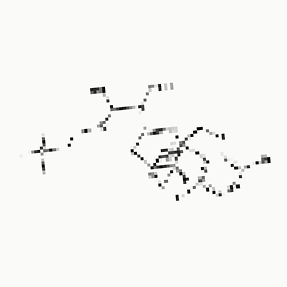 CC(C)(C)C(OCC[Si](C)(C)C)N(C(=O)O)C1=N[C@](CF)(c2cc(Br)ccc2F)[C@@H]2C[C@]2(C=O)S1